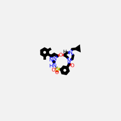 Cc1cccc(C)c1-c1cc2nc(n1)NS(=O)(=O)c1cccc(c1)C(=O)N1CCN(CC3CC3)C[C@H](C1)O2